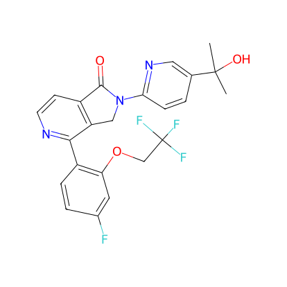 CC(C)(O)c1ccc(N2Cc3c(ccnc3-c3ccc(F)cc3OCC(F)(F)F)C2=O)nc1